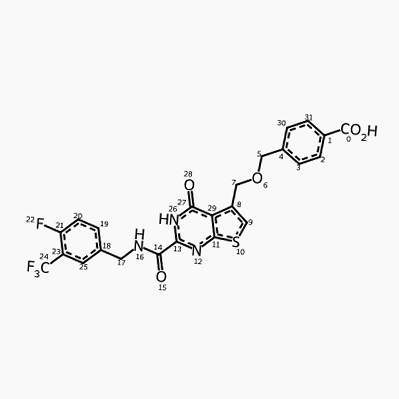 O=C(O)c1ccc(COCc2csc3nc(C(=O)NCc4ccc(F)c(C(F)(F)F)c4)[nH]c(=O)c23)cc1